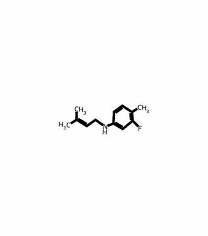 CC(C)=CCNc1ccc(C)c(F)c1